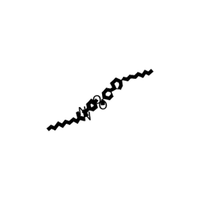 CCCCCCCCCc1cnc(-c2ccc(OC(=O)[C@H]3CC[C@H]([C@H]4CC[C@H](CCCCCCCCC)CC4)CC3)cc2)nc1